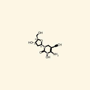 C#CC1=C(N)N(O)C(=O)N([C@H]2C[C@H](O)[C@@H](CO)O2)C1